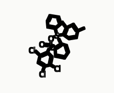 Cc1ccc(S(OS(=O)(=O)c2cc(Cl)c(Cl)cc2Cl)(c2ccccc2)c2ccccc2)c(C)c1